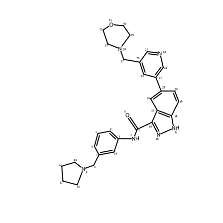 O=C(Nc1cccc(CN2CCCC2)c1)c1n[nH]c2ccc(-c3cncc(CN4CCOCC4)c3)cc12